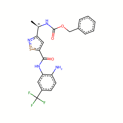 C[C@@H](NC(=O)OCc1ccccc1)c1cc(C(=O)Nc2cc(C(F)(F)F)ccc2N)sn1